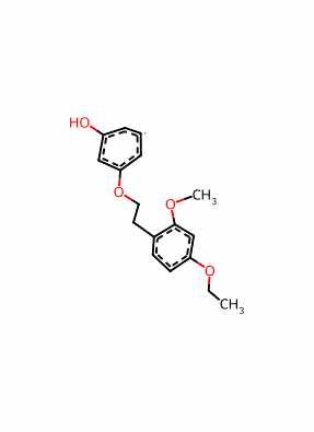 CCOc1ccc(CCOc2c[c]cc(O)c2)c(OC)c1